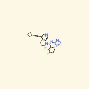 Fc1ccc2c(c(N3CCCc4c(C#CC5CCC5)cncc43)nc3nncn32)c1F